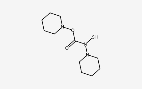 O=C(ON1CCCCC1)N(S)N1CCCCC1